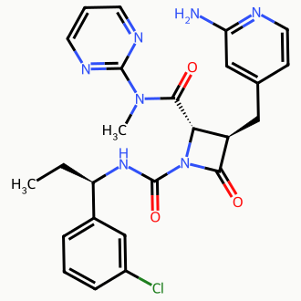 CC[C@@H](NC(=O)N1C(=O)[C@H](Cc2ccnc(N)c2)[C@H]1C(=O)N(C)c1ncccn1)c1cccc(Cl)c1